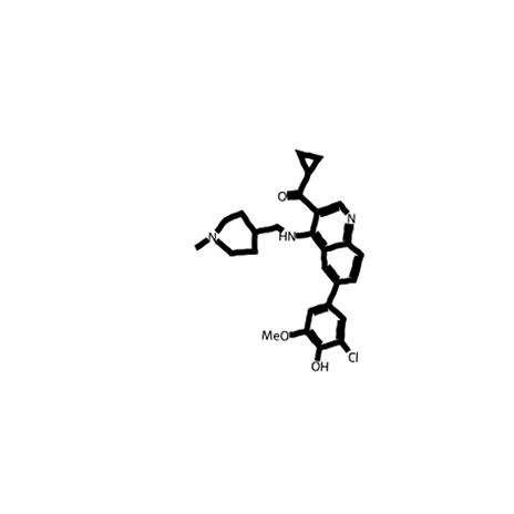 COc1cc(-c2ccc3ncc(C(=O)C4CC4)c(NCC4CCN(C)CC4)c3c2)cc(Cl)c1O